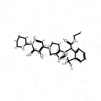 CCOC(=O)C(c1ccccc1C(F)(F)F)n1cnc2c1CCN(c1cnn(C3CCCCO3)c(=O)c1Cl)C2